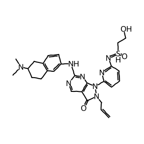 C=CCn1c(=O)c2cnc(Nc3ccc4c(c3)CCC(N(C)C)C4)nc2n1-c1cccc(/N=[SH](=O)/CCO)n1